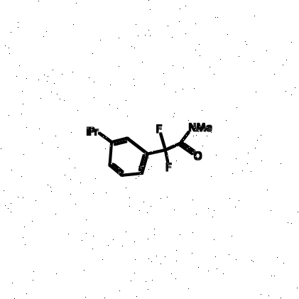 CNC(=O)C(F)(F)c1cccc(C(C)C)c1